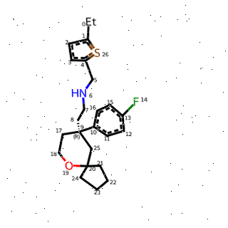 CCc1ccc(CNCC[C@@]2(c3ccc(F)cc3)CCOC3(CCCC3)C2)s1